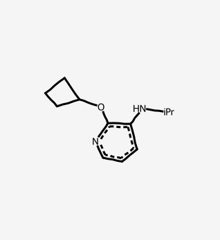 CC(C)Nc1cccnc1OC1CCC1